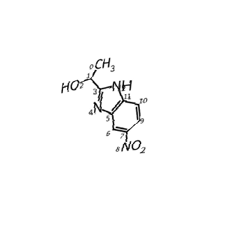 C[C@H](O)c1nc2cc([N+](=O)[O-])ccc2[nH]1